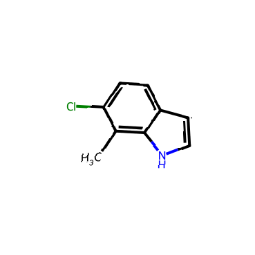 Cc1c(Cl)ccc2[c]c[nH]c12